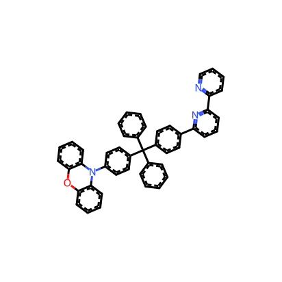 c1ccc(C(c2ccccc2)(c2ccc(-c3cccc(-c4ccccn4)n3)cc2)c2ccc(N3c4ccccc4Oc4ccccc43)cc2)cc1